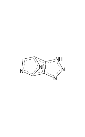 c1nc2[nH]c1c1[nH]nnc21